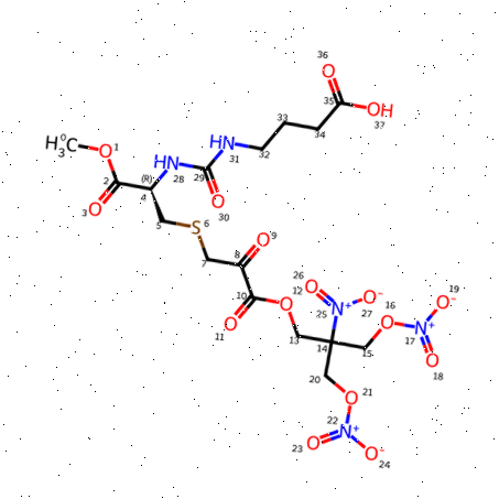 COC(=O)[C@H](CSCC(=O)C(=O)OCC(CO[N+](=O)[O-])(CO[N+](=O)[O-])[N+](=O)[O-])NC(=O)NCCCC(=O)O